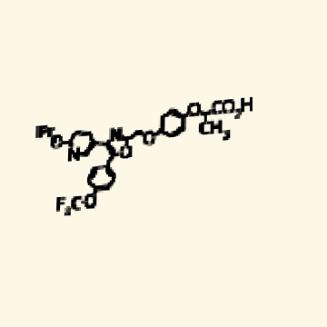 CC(C)Oc1ccc(-c2nc(COc3ccc(OC(C)C(=O)O)cc3)oc2-c2ccc(OC(F)(F)F)cc2)cn1